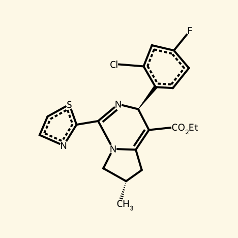 CCOC(=O)C1=C2C[C@H](C)CN2C(c2nccs2)=N[C@H]1c1ccc(F)cc1Cl